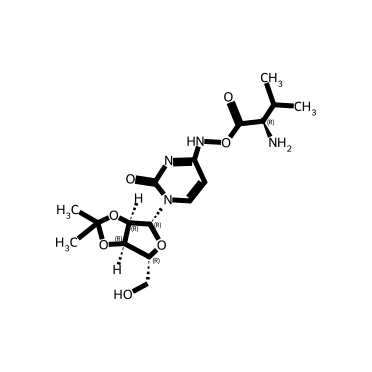 CC(C)[C@@H](N)C(=O)ONc1ccn([C@@H]2O[C@H](CO)[C@H]3OC(C)(C)O[C@H]32)c(=O)n1